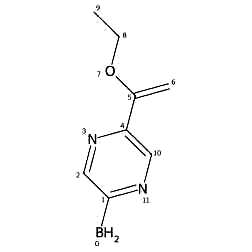 Bc1cnc(C(=C)OCC)cn1